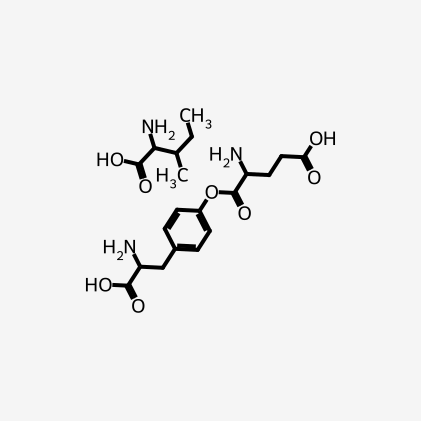 CCC(C)C(N)C(=O)O.NC(Cc1ccc(OC(=O)C(N)CCC(=O)O)cc1)C(=O)O